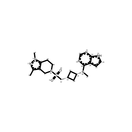 Cc1nn(C)c2c1CN(S(=O)(=O)C[C@H]1C[C@@H](N(C)c3ncnc4[nH]ccc34)C1)CC2